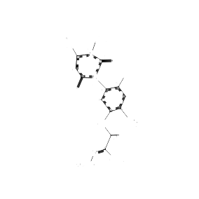 CON=C(C)C(C)Oc1cc(-n2c(=O)cc(C(F)(F)F)n(C)c2=O)c(F)cc1C#N